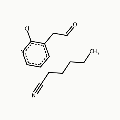 CCCCCC#N.O=CCc1cccnc1Cl